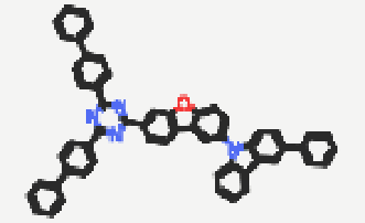 c1ccc(-c2ccc(-c3nc(-c4ccc(-c5ccccc5)cc4)nc(-c4ccc5c(c4)oc4ccc(-n6c7ccccc7c7cc(-c8ccccc8)ccc76)cc45)n3)cc2)cc1